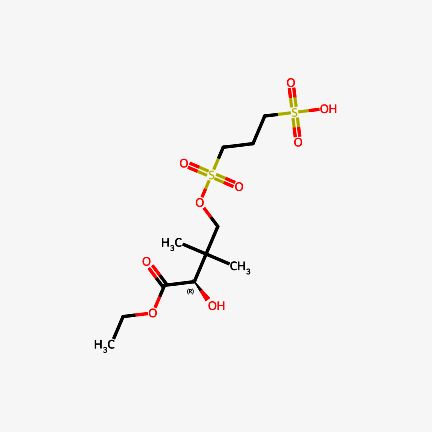 CCOC(=O)[C@H](O)C(C)(C)COS(=O)(=O)CCCS(=O)(=O)O